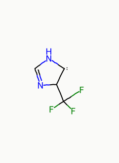 FC(F)(F)C1[C]NC=N1